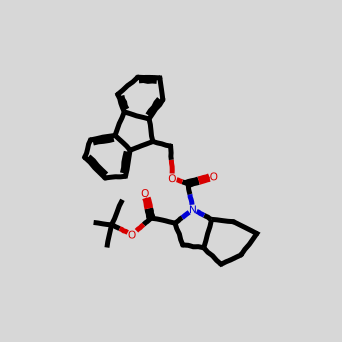 CC(C)(C)OC(=O)C1CC2CCCCC2N1C(=O)OCC1c2ccccc2-c2ccccc21